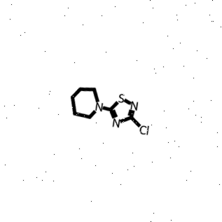 Clc1nsc(N2CCCCC2)n1